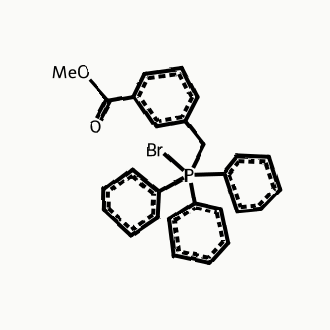 COC(=O)c1cccc(CP(Br)(c2ccccc2)(c2ccccc2)c2ccccc2)c1